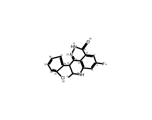 CC1Nc2cc(F)cc3c(=O)[nH]nc(c23)C1c1ccccc1Cl